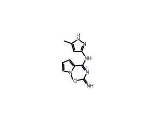 Cc1cc(N/C(=N/C(=N)Cl)c2cccn2C)n[nH]1